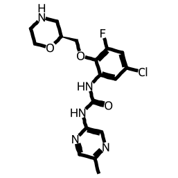 Cc1cnc(NC(=O)Nc2cc(Cl)cc(F)c2OC[C@@H]2CNCCO2)cn1